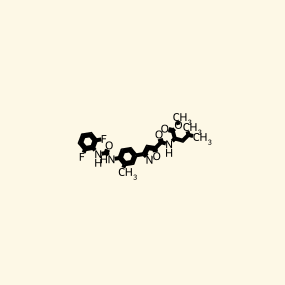 COC(=O)C(CC(C)C)NC(=O)c1cc(-c2ccc(NC(=O)Nc3c(F)cccc3F)c(C)c2)no1